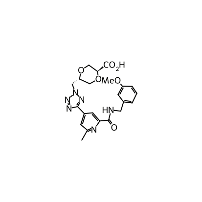 COc1cccc(CNC(=O)c2cc(-c3nnn(C[C@H]4CO[C@H](C(=O)O)CO4)n3)cc(C)n2)c1